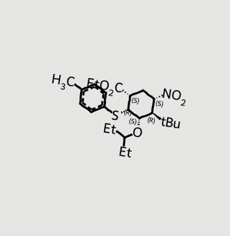 CCOC(=O)[C@@H]1C[C@H]([N+](=O)[O-])[C@@H](C(C)(C)C)[C@H](OC(CC)CC)[C@@H]1Sc1ccc(C)cc1